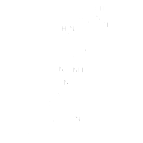 CN(C)C(=O)CC(N)c1ccc(Nc2nccc(-c3ccc(OC4CCOCC4)c(C#N)c3)n2)cc1